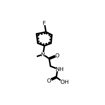 CN(C(=O)CNC(=O)O)c1ccc(F)cc1